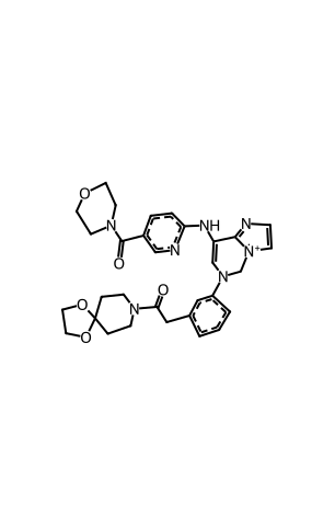 O=C(Cc1cccc(N2C=C(Nc3ccc(C(=O)N4CCOCC4)cn3)C3=NC=C[N+]3C2)c1)N1CCC2(CC1)OCCO2